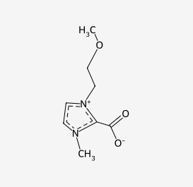 COCC[n+]1ccn(C)c1C(=O)[O-]